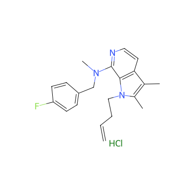 C=CCCn1c(C)c(C)c2ccnc(N(C)Cc3ccc(F)cc3)c21.Cl